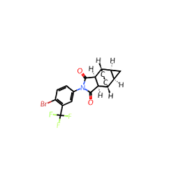 O=C1[C@@H]2[C@@H]3CC[C@@H]([C@H]4C[C@H]43)[C@@H]2C(=O)N1c1ccc(Br)c(C(F)(F)F)c1